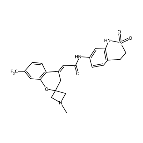 CN1CC2(C/C(=C\C(=O)Nc3ccc4c(c3)NS(=O)(=O)CC4)c3ccc(C(F)(F)F)cc3O2)C1